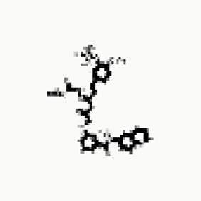 COc1ccc(C=CC(CC(=O)CSc2cccc(C(=O)N(C)c3ccc4ncccc4c3)c2)=NNC(=O)OC(C)(C)C)cc1O[Si](C(C)C)(C(C)C)C(C)C